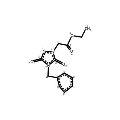 CCOC(=O)Cn1sc(=O)n(Cc2ccccc2)c1=O